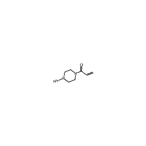 C=CC(=O)N1CCN(CCC)CC1